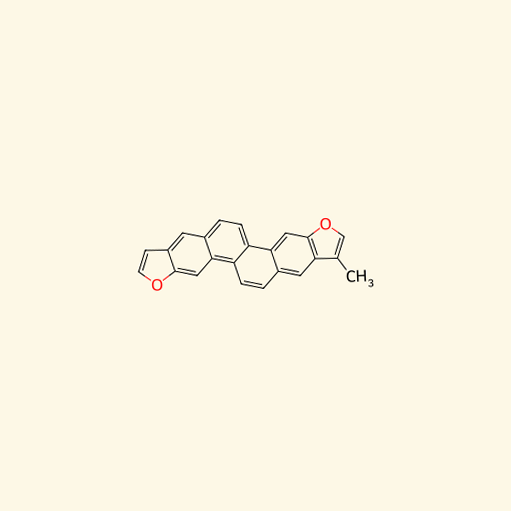 Cc1coc2cc3c(ccc4c5cc6occc6cc5ccc34)cc12